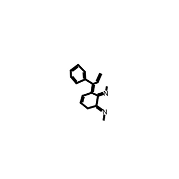 C=C/C(=C1/C=CCC(=N\C)/C1=N/C)c1ccccc1